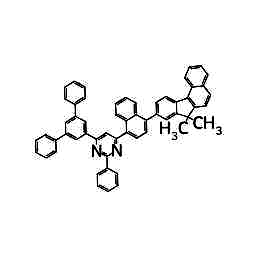 CC1(C)c2cc(-c3ccc(-c4cc(-c5cc(-c6ccccc6)cc(-c6ccccc6)c5)nc(-c5ccccc5)n4)c4ccccc34)ccc2-c2c1ccc1ccccc21